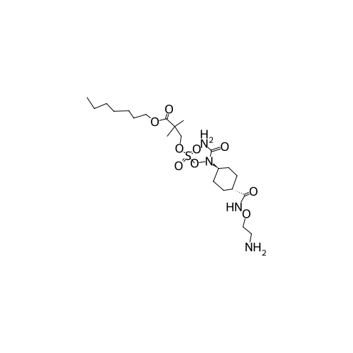 CCCCCCCOC(=O)C(C)(C)COS(=O)(=O)ON(C(N)=O)[C@H]1CC[C@H](C(=O)NOCCN)CC1